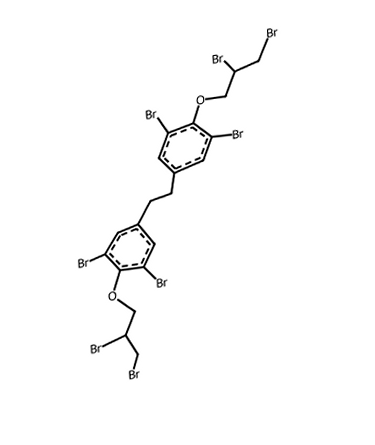 BrCC(Br)COc1c(Br)cc(CCc2cc(Br)c(OCC(Br)CBr)c(Br)c2)cc1Br